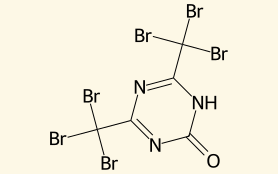 O=c1nc(C(Br)(Br)Br)nc(C(Br)(Br)Br)[nH]1